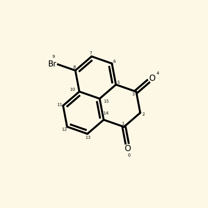 O=C1CC(=O)c2ccc(Br)c3cccc1c23